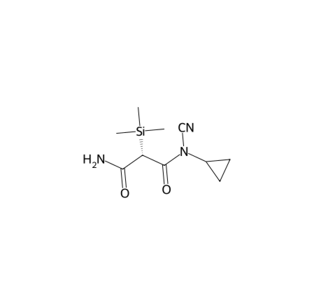 C[Si](C)(C)[C@@H](C(N)=O)C(=O)N(C#N)C1CC1